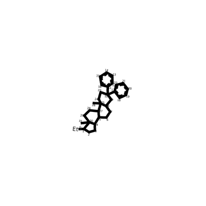 CCC1CCC2C3CCC4CC(c5ccccc5)(c5ccccc5)CCC4(C)C3CCC12C